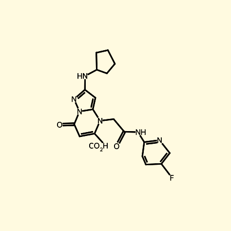 O=C(Cn1c(C(=O)O)cc(=O)n2nc(NC3CCCC3)cc12)Nc1ccc(F)cn1